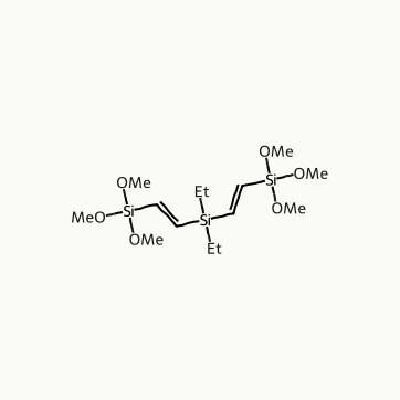 CC[Si](C=C[Si](OC)(OC)OC)(C=C[Si](OC)(OC)OC)CC